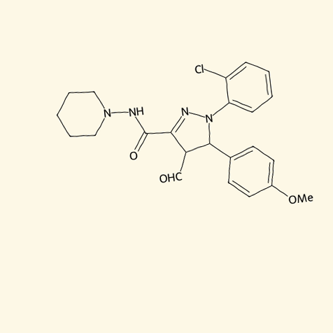 COc1ccc(C2C(C=O)C(C(=O)NN3CCCCC3)=NN2c2ccccc2Cl)cc1